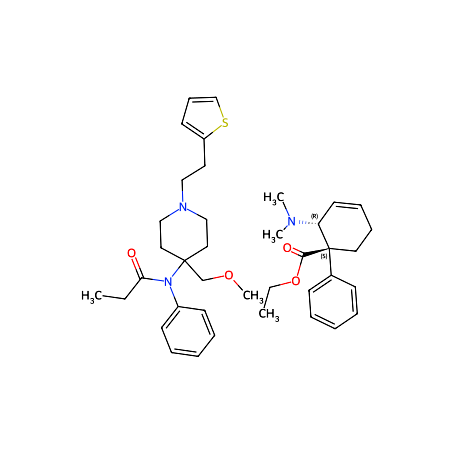 CCC(=O)N(c1ccccc1)C1(COC)CCN(CCc2cccs2)CC1.CCOC(=O)[C@]1(c2ccccc2)CCC=C[C@H]1N(C)C